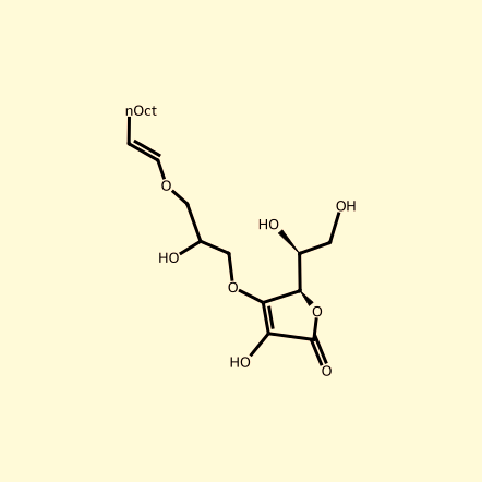 CCCCCCCCC=COCC(O)COC1=C(O)C(=O)O[C@@H]1[C@@H](O)CO